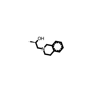 [CH2][C@@H](O)CN1CCc2ccccc2C1